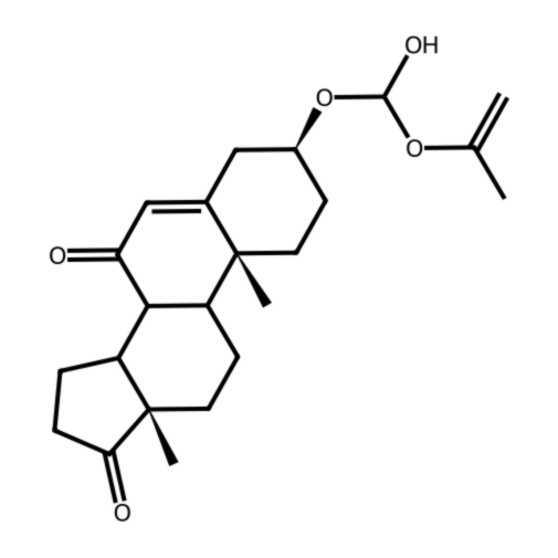 C=C(C)OC(O)O[C@H]1CC[C@@]2(C)C(=CC(=O)C3C2CC[C@]2(C)C(=O)CCC32)C1